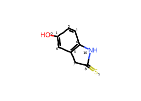 Oc1ccc2c(c1)CC(=S)N2